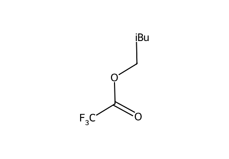 CCC(C)COC(=O)C(F)(F)F